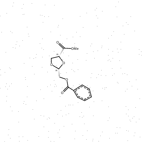 COC(=O)[C@H]1CO[C@@H](COC(=O)c2ccccc2)O1